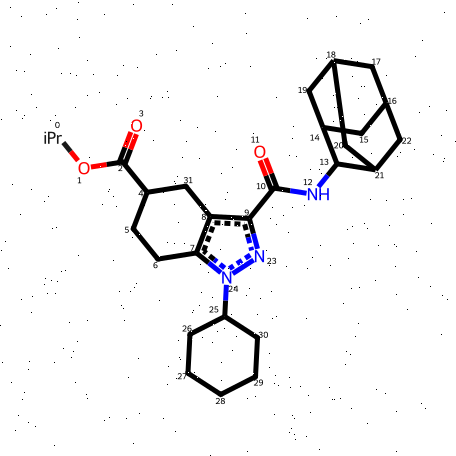 CC(C)OC(=O)C1CCc2c(c(C(=O)NC3C4CC5CC(C4)CC3C5)nn2C2CCCCC2)C1